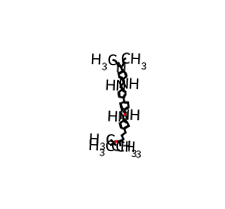 CCCN(CCC)c1ccc(NNc2ccc(-c3ccc(NNc4ccc(CCCC(C)CC(C)(C)C)cc4)cc3)cc2)cc1